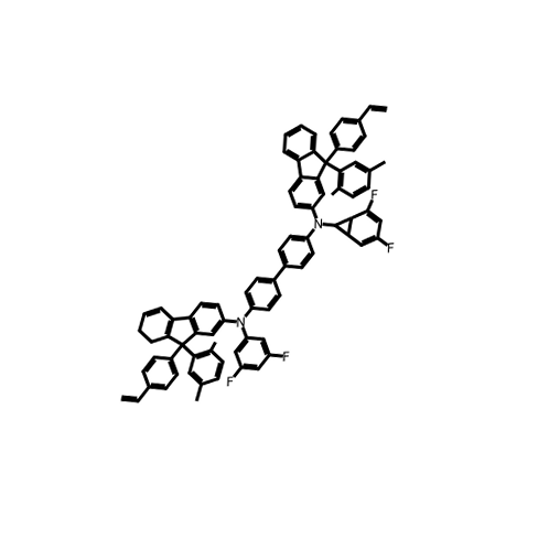 C=Cc1ccc(C2(c3cc(C)ccc3C)C3=C(C=CCC3)c3ccc(N(c4ccc(-c5ccc(N(c6ccc7c(c6)C(c6ccc(C=C)cc6)(c6cc(C)ccc6C)c6ccccc6-7)C6C7C=C(F)C=C(F)C76)cc5)cc4)c4cc(F)cc(F)c4)cc32)cc1